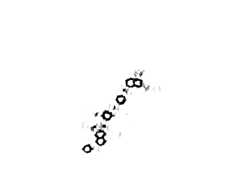 COc1cc(N=Nc2ccc(-n3nc4ccc5c(S(=O)(=O)O)cc(S(=O)(=O)O)cc5c4n3)cc2)c(C)cc1N=Nc1c(S(=O)(=O)O)cc2cc(Nc3ccccc3)ccc2c1O